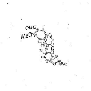 COc1cc2c(cc1C=O)OCC1Oc3c(ccc4c3C[C@H](C(C)=O)O4)C(C)[C@@H]21